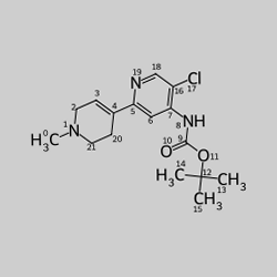 CN1CC=C(c2cc(NC(=O)OC(C)(C)C)c(Cl)cn2)CC1